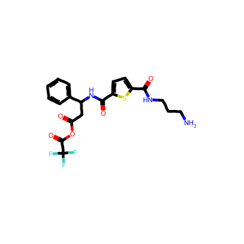 NCCCNC(=O)c1ccc(C(=O)NC(CC(=O)OC(=O)C(F)(F)F)c2ccccc2)s1